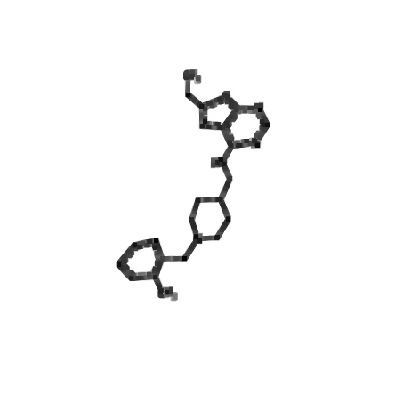 Cc1ccccc1CN1CCC(CNc2ncnc3sc(CC(F)(F)F)cc23)CC1